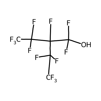 OC(F)(F)C(F)(C(F)(F)C(F)(F)F)C(F)(F)C(F)(F)F